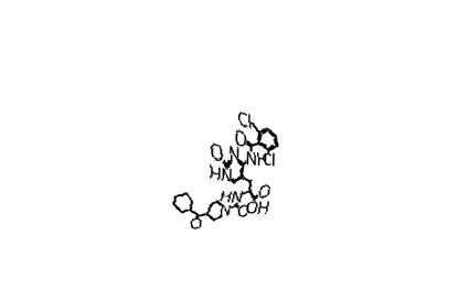 O=C(Nc1nc(=O)[nH]cc1CC(NC(=O)N1CCC(C(=O)C2CCCCC2)CC1)C(=O)O)c1c(Cl)cccc1Cl